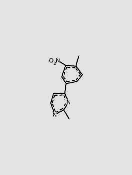 Cc1nccc(-c2ccc(C)c([N+](=O)[O-])c2)n1